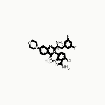 Cn1nc(N)c2c(Cl)ccc(-n3c([C@@H](N)Cc4cc(F)cc(F)c4)nc4cc(N5CCOCC5)ccc4c3=O)c21